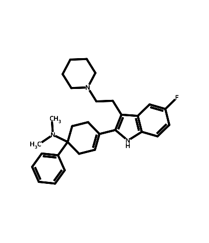 CN(C)C1(c2ccccc2)CC=C(c2[nH]c3ccc(F)cc3c2CCN2CCCCC2)CC1